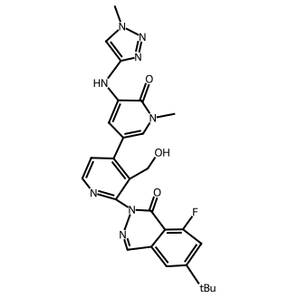 Cn1cc(Nc2cc(-c3ccnc(-n4ncc5cc(C(C)(C)C)cc(F)c5c4=O)c3CO)cn(C)c2=O)nn1